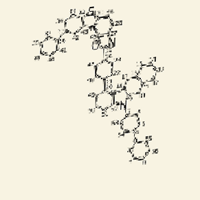 c1ccc(-c2ccc(-n3c4cc5ccccc5cc4c4c(-c5ccc(-c6nc7ccc8sc9ccc(-c%10ccccc%10)cc9c8c7o6)cc5)cccc43)cc2)cc1